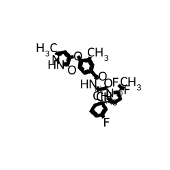 Cc1cc(Oc2ccc(C(=O)N[C@H](C)C(=O)N3[C@H](C4(C)C=C(F)C=CC4)CC[C@@H]3C(C)(F)F)cc2C)c(=O)[nH]n1